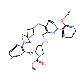 CCOc1ncccc1-c1ccc(OC2CC3(C2)CN(c2ccc(F)cc2C(F)(F)F)C3)c(CN[C@@H]2CCN(C(=O)OC(C)(C)C)C2)n1